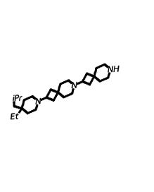 CCC1(CC(C)C)CCN(C2CC3(CCN(C4CC5(CCNCC5)C4)CC3)C2)CC1